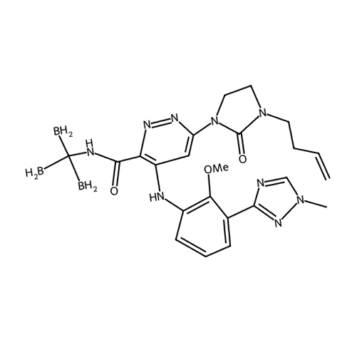 BC(B)(B)NC(=O)c1nnc(N2CCN(CCC=C)C2=O)cc1Nc1cccc(-c2ncn(C)n2)c1OC